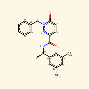 C[C@@H](NC(=O)c1ccc(=O)n(Cc2ccccc2)n1)c1cc(N)cc(C(F)(F)F)c1